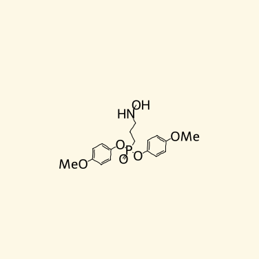 COc1ccc(OP(=O)(CCCNO)Oc2ccc(OC)cc2)cc1